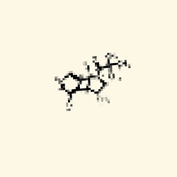 C[C@H]1CN(C(=O)C(C)(C)C)[C@@H]2c3cncc(Br)c3C21